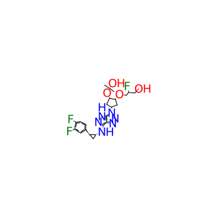 CC(C)(O)OC1C[C@H](n2nnc3c(N[C@@H]4C[C@H]4c4ccc(F)c(F)c4)n[nH]c32)C[C@@H]1OCC(F)CO